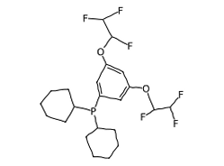 FC(F)C(F)Oc1cc(OC(F)C(F)F)cc(P(C2CCCCC2)C2CCCCC2)c1